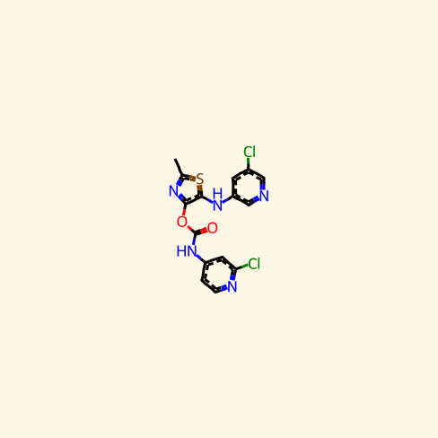 Cc1nc(OC(=O)Nc2ccnc(Cl)c2)c(Nc2cncc(Cl)c2)s1